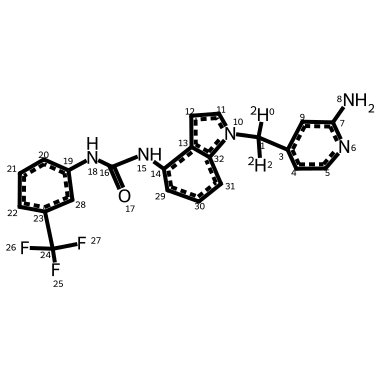 [2H]C([2H])(c1ccnc(N)c1)n1ccc2c(NC(=O)Nc3cccc(C(F)(F)F)c3)cccc21